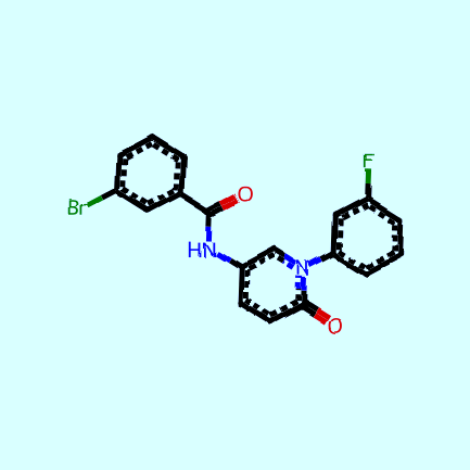 O=C(Nc1ccc(=O)n(-c2cccc(F)c2)c1)c1cccc(Br)c1